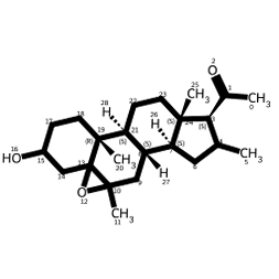 CC(=O)[C@H]1C(C)C[C@H]2[C@@H]3CC4(C)OC45CC(O)CC[C@]5(C)[C@H]3CC[C@]12C